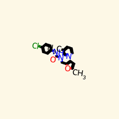 Cc1ccc(CN(C(=O)Nc2ccc(Cl)cc2)c2ncccc2C)o1